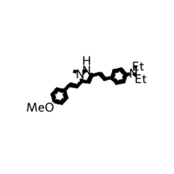 CCN(CC)c1ccc(C=CC2=CC(C=Cc3ccc(OC)cc3)N(C)N2)cc1